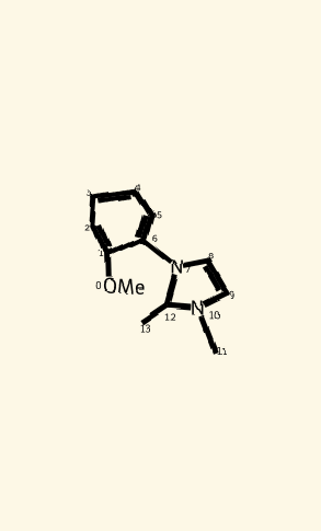 COc1ccccc1N1C=CN(C)C1C